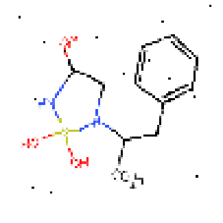 O=C(O)C(Cc1ccccc1)N1CC(O)NS1(O)O